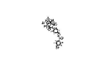 O=C(COc1ccc(N2C(=O)[C@@H]3[C@@H]4C=C[C@@H]([C@H]5C[C@@H]45)[C@@H]3C2=O)cc1)c1ccc(Br)cc1